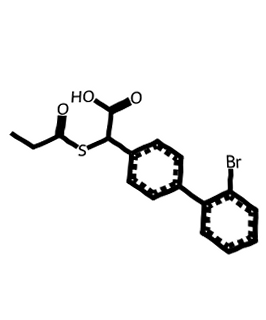 CCC(=O)SC(C(=O)O)c1ccc(-c2ccccc2Br)cc1